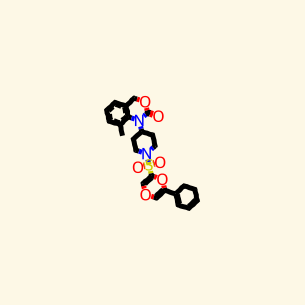 Cc1cccc2c1N(C1CCN(S(=O)(=O)C3=COC=C(C4=CC=CCC4)O3)CC1)C(=O)OC2